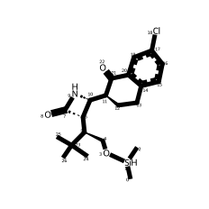 C[SiH](C)OC[C@H]([C@@H]1C(=O)N[C@@H]1[C@@H]1CCc2ccc(Cl)cc2C1=O)C(C)(C)C